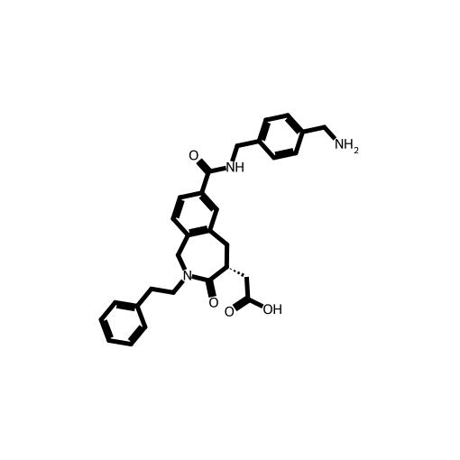 NCc1ccc(CNC(=O)c2ccc3c(c2)C[C@H](CC(=O)O)C(=O)N(CCc2ccccc2)C3)cc1